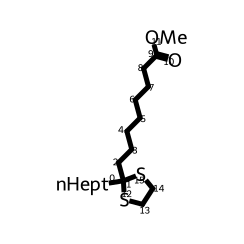 CCCCCCCC1(CCCCCCCC(=O)OC)SCCS1